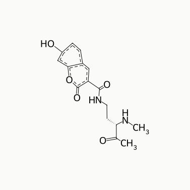 CN[C@@H](CCNC(=O)c1cc2ccc(O)cc2oc1=O)C(C)=O